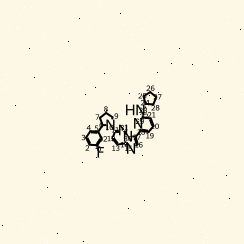 Fc1cccc(C2CCCN2c2ccc3ncc(-c4cccc(N[C]5CCCC5)n4)n3n2)c1